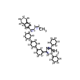 C/C=C\C=C(\c1cccc(-c2ccc(-c3cccc(C(=C/Cc4ccccc4)/N=C(\N)c4ccccc4)c3)cc2)c1)c1cc2c(s1)=CCCC=2